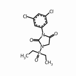 CCP(=O)(CC)N1CC(=O)N(c2cc(Cl)cc(Cl)c2)C1=O